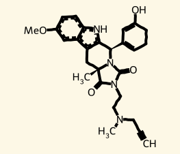 C#CCN(C)CCN1C(=O)N2[C@H](C3=CCCC(O)=C3)c3[nH]c4ccc(OC)cc4c3C[C@@]2(C)C1=O